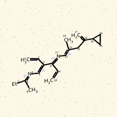 C=CC(=C\N=C(/C)CC)/C(C=C)=N/C=C(\C)CC(=C)C1CC1